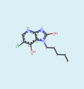 CCCCCn1c(O)nc2ncc(Cl)c(O)c21